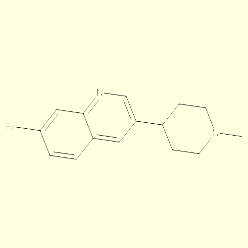 CN1CCC(c2cnc3cc(Br)ccc3c2)CC1